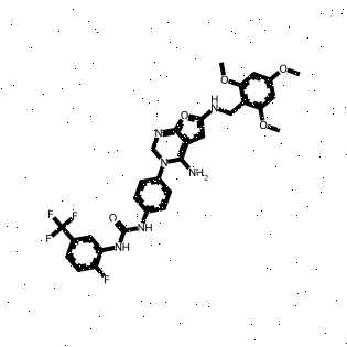 COc1cc(OC)c(CNc2cc3c(o2)=NCN(c2ccc(NC(=O)Nc4cc(C(F)(F)F)ccc4F)cc2)C=3N)c(OC)c1